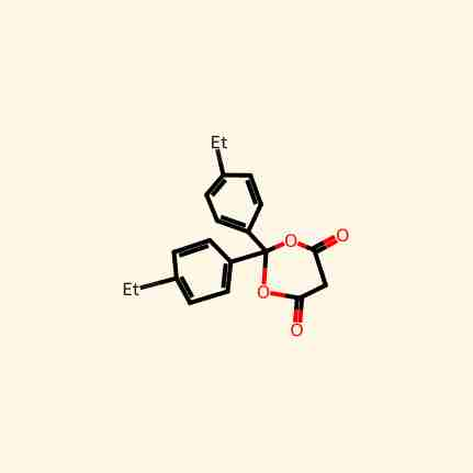 CCc1ccc(C2(c3ccc(CC)cc3)OC(=O)CC(=O)O2)cc1